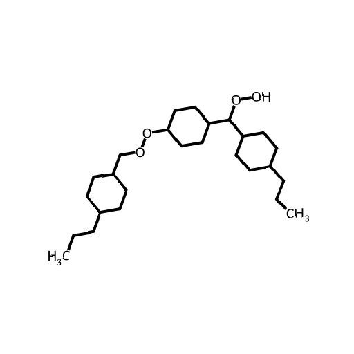 CCCC1CCC(COOC2CCC(C(OO)C3CCC(CCC)CC3)CC2)CC1